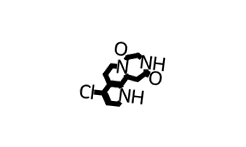 O=C1CC2C3=C(CCN2C(=O)CN1)C(Cl)=CCN3